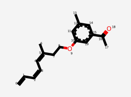 C=C/C=C\C=C(\C)CCOc1cc(C)cc(C(C)=O)c1